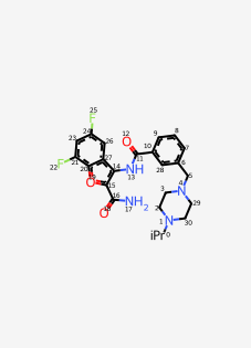 CC(C)N1CCN(Cc2cccc(C(=O)Nc3c(C(N)=O)oc4c(F)cc(F)cc34)c2)CC1